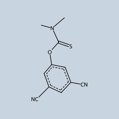 CN(C)C(=S)Oc1cc(C#N)cc(C#N)c1